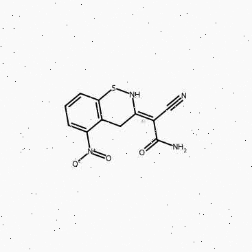 N#C/C(C(N)=O)=C1/Cc2c(cccc2[N+](=O)[O-])SN1